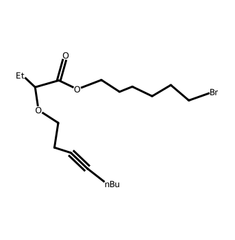 CCCCC#CCCOC(CC)C(=O)OCCCCCCBr